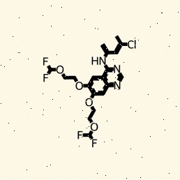 C=C(/C=C(\C)Cl)Nc1ncnc2cc(OCCOC(F)F)c(OCCOC(F)F)cc12